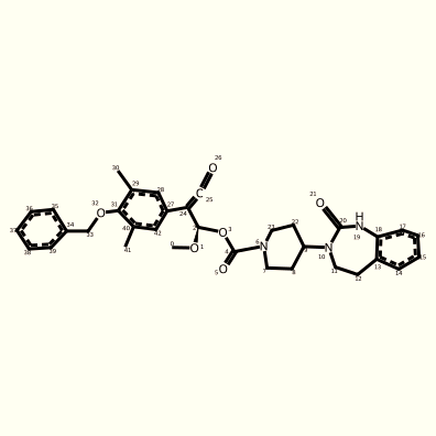 CO[C@H](OC(=O)N1CCC(N2CCc3ccccc3NC2=O)CC1)C(=C=O)c1cc(C)c(OCc2ccccc2)c(C)c1